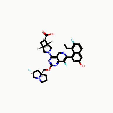 CCc1c(F)ccc2cc(O)cc(-c3ncc4c(N5C[C@@H]6C[C@@H](C(=O)O)[C@@H]6C5)nc(OC[C@@]56CCCN5C[C@H](F)C6)nc4c3F)c12